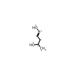 CC(O)CC=NO